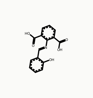 O=C(O)c1cccc(C(=O)O)c1N=Cc1ccccc1O